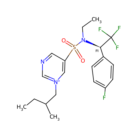 CCC(C)C[n+]1cncc(S(=O)(=O)N(CC)[C@H](c2ccc(F)cc2)C(F)(F)F)c1